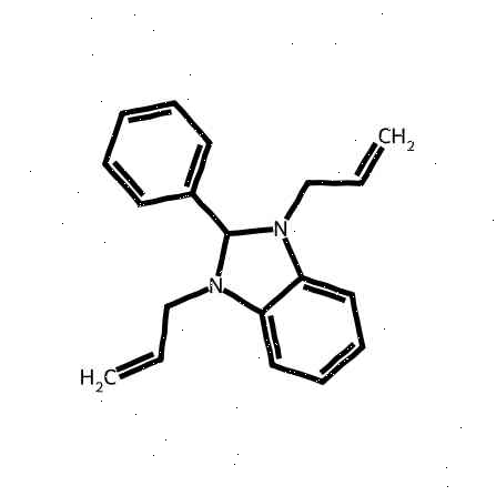 C=CCN1c2ccccc2N(CC=C)C1c1ccccc1